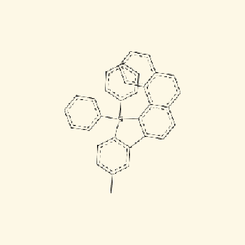 Cc1ccc2c(c1)-c1ccc3ccc4ccccc4c3c1[Si]2(c1ccccc1)c1ccccc1